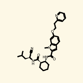 CC(C)C[C@@H](C#N)NC(=O)[C@@H]1CCCC[C@@H]1NC(=O)c1cc2ccc(OCCc3ccccn3)cc2n1C